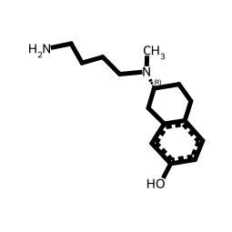 CN(CCCCN)[C@@H]1CCc2ccc(O)cc2C1